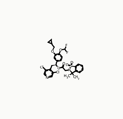 CC1(C)c2ccccc2S(=O)(=O)N1CC(=O)O[C@@H](Cc1c(Cl)cncc1Cl)c1ccc(OC(F)F)c(OCC2CC2)c1